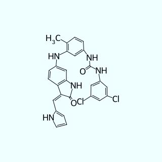 Cc1ccc(NC(=O)Nc2cc(Cl)cc(Cl)c2)cc1Nc1ccc2c(c1)NC(=O)C2=Cc1ccc[nH]1